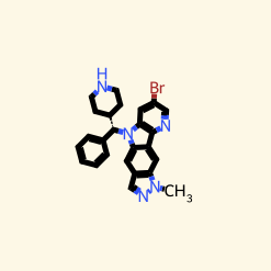 Cn1ncc2cc3c(cc21)c1ncc(Br)cc1n3[C@H](c1ccccc1)C1CCNCC1